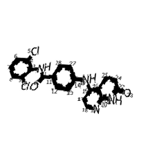 O=C(Nc1c(Cl)cccc1Cl)c1ccc(Nc2ccnc3[nH]c(=O)ccc23)cc1